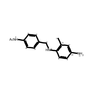 CC(=O)Nc1ccc(CNc2ccc(N)cc2C)cc1